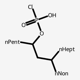 CCCCCCCCCC(CCCCCCC)CC(CCCCC)OP(=O)(O)Cl